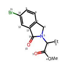 CCC(C(=O)OC)N1Cc2ccc(Br)cc2C1=O